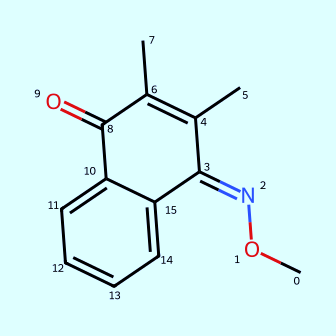 CO/N=C1/C(C)=C(C)C(=O)c2ccccc21